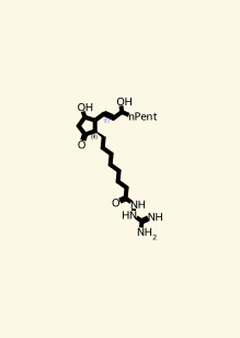 CCCCCC(O)/C=C/C1C(O)CC(=O)[C@@H]1CCCCCCCC(=O)NNC(=N)N